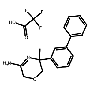 CC1(c2cccc(-c3ccccc3)c2)COCC(N)=N1.O=C(O)C(F)(F)F